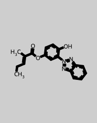 CCC=C(C)C(=O)Oc1ccc(O)c(-n2nc3ccccc3n2)c1